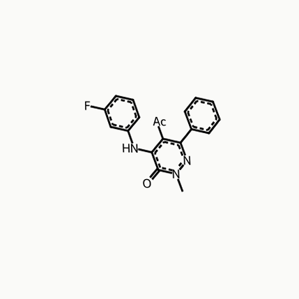 CC(=O)c1c(-c2ccccc2)nn(C)c(=O)c1Nc1cccc(F)c1